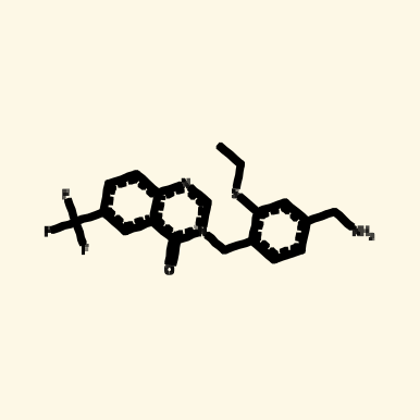 CCSc1cc(CN)ccc1Cn1cnc2ccc(C(F)(F)F)cc2c1=O